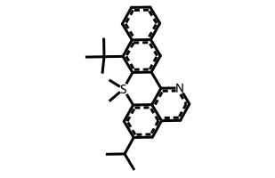 CC(C)c1cc2c3c(nccc3c1)-c1cc3ccccc3c(C(C)(C)C)c1S2(C)C